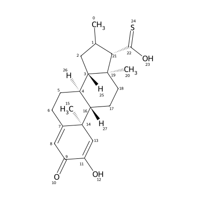 CC1C[C@H]2[C@@H]3CCC4=CC(=O)C(O)=C[C@]4(C)[C@H]3CC[C@]2(C)[C@H]1C(O)=S